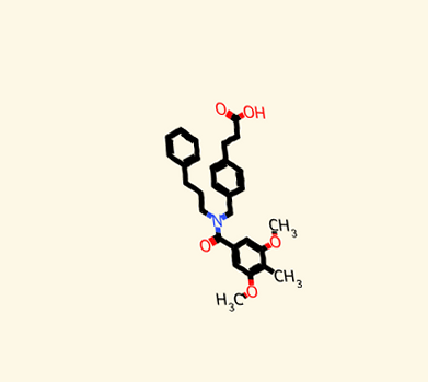 COc1cc(C(=O)N(CCCc2ccccc2)Cc2ccc(CCC(=O)O)cc2)cc(OC)c1C